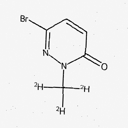 [2H]C([2H])([2H])n1nc(Br)ccc1=O